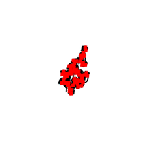 c1ccc(-c2ccc(-c3cc(-c4cccc(-n5c6cccc(-c7ccc8c(c7)N(c7ccccc7)c7cc(-c9ccccc9-c9ccc(-c%10nc(-c%11ccccc%11)cc(-n%11c%12cccc(-c%13ccc%14c(c%13)N(c%13ccccc%13)c%13ccccc%13O%14)c%12c%12c%13ccccc%13ccc%12%11)n%10)cc9)ccc7O8)c6c6c7ccccc7ccc65)c4)nc(-c4ccccc4)n3)cc2)cc1